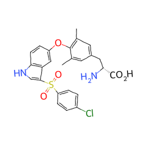 Cc1cc(C[C@@H](N)C(=O)O)cc(C)c1Oc1ccc2[nH]cc(S(=O)(=O)c3ccc(Cl)cc3)c2c1